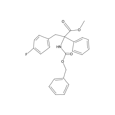 COC(=O)C(Cc1ccc(F)cc1)(NC(=O)OCc1ccccc1)c1ccccc1